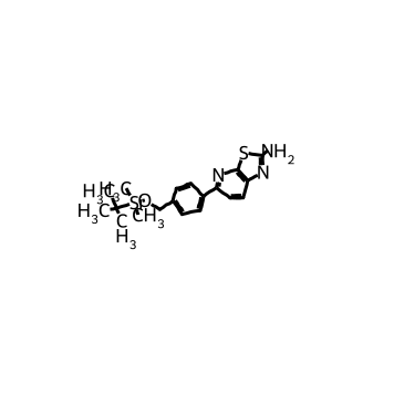 CC(C)(C)[Si](C)(C)OCc1ccc(-c2ccc3nc(N)sc3n2)cc1